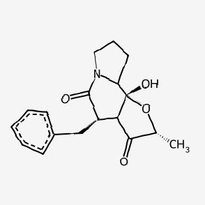 C[C@H]1O[C@]2(O)C(C1=O)[C@@H](Cc1ccccc1)C(=O)N1CCCC12